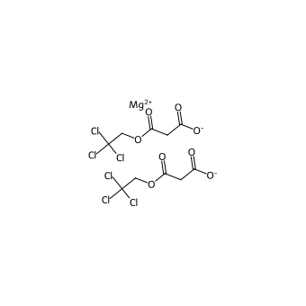 O=C([O-])CC(=O)OCC(Cl)(Cl)Cl.O=C([O-])CC(=O)OCC(Cl)(Cl)Cl.[Mg+2]